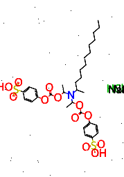 CCCCCCCCCCCC(C)N(C(C)OC(=O)Oc1ccc(S(=O)(=O)O)cc1)C(C)OC(=O)Oc1ccc(S(=O)(=O)O)cc1.Cl.[NaH].[NaH]